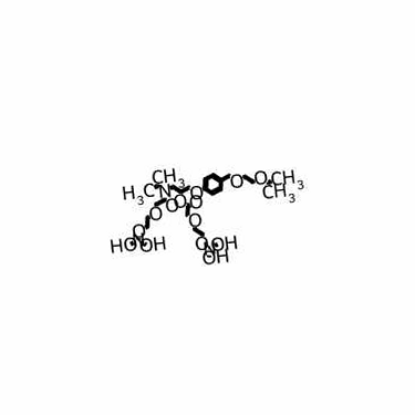 CC(C)OCCOCc1ccc(OCC(CN(C(=O)COCCON(O)O)C(C)C)OC(=O)COCCON(O)O)cc1